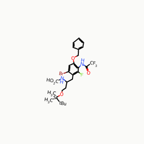 CC(C)(C)[Si](C)(C)OCCC(Cc1c(Br)cc(OCc2ccccc2)c(NC(=O)C(F)(F)F)c1F)NC(=O)O